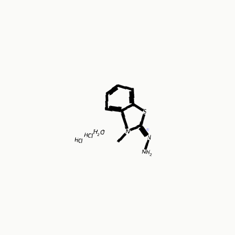 Cl.Cl.Cn1/c(=N\N)sc2ccccc21.O